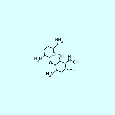 CNC1C(O)CC(N)C(OC2OC(CN)CCC2N)C1O